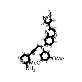 COc1cc(OC)cc(N(CC#Cc2ccnc(N)c2)c2ccc3ncc(-c4cnn(C)c4)nc3c2)c1